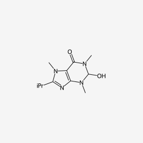 CC(C)c1nc2c(n1C)C(=O)N(C)C(O)N2C